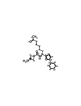 CC(=O)CCCCCC(NC(=O)C1CN(C)C1)c1ncc(-c2ccccc2)o1